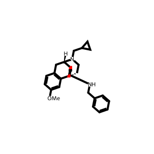 COc1ccc2c(c1)[C@@]13CCN(CC4CC4)[C@@H](C2)C1OCC(NCc1ccccc1)C3